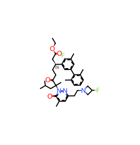 CCOC(=O)C[C@H](CCC(=O)C(C)(CC(C)C)n1nc(CCN2CC(F)C2)cc(C)c1=O)c1cc(-c2c(C)cccc2C)cc(C)c1F